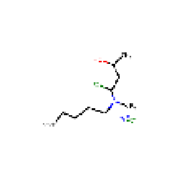 CCCCCCCCCCCCN(C)C(Cl)CC(C)O.Cl.N